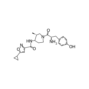 C[C@H]1CN(C(=O)[C@H](N)Cc2ccc(O)cc2)CCC1NC(=O)c1cc(C2CC2)on1